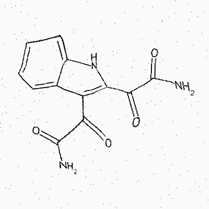 NC(=O)C(=O)c1[nH]c2ccccc2c1C(=O)C(N)=O